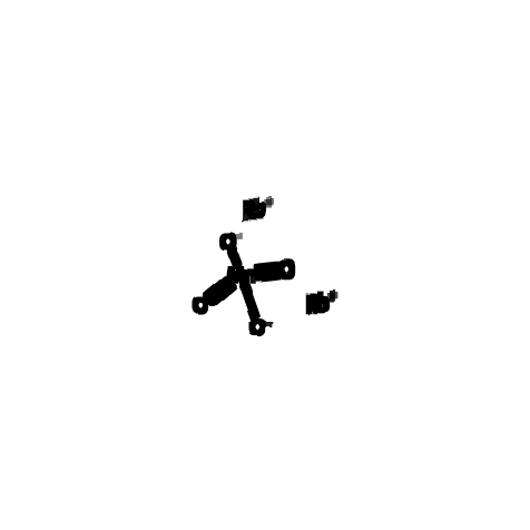 [O]=[Mn](=[O])([O-])[O-].[Rb+].[Rb+]